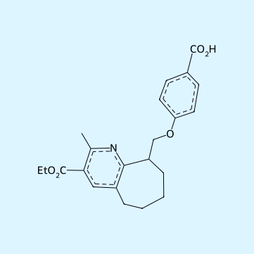 CCOC(=O)c1cc2c(nc1C)C(COc1ccc(C(=O)O)cc1)CCCC2